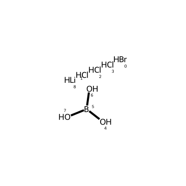 Br.Cl.Cl.Cl.OB(O)O.[LiH]